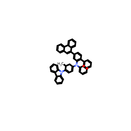 CC1CC(N(c2ccccc2)c2cc(-c3cc4ccccc4c4ccccc34)ccc2-c2ccccc2)=CC=C1n1c2ccccc2c2ccccc21